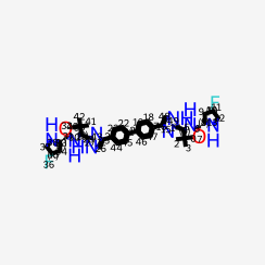 CC(C)(C)[C@H](NC(=O)[C@@H]1C[C@@H](F)CN1)c1nc(-c2ccc(-c3ccc(-c4c[nH]c([C@@H](NC(=O)[C@@H]5C[C@@H](F)CN5)C(C)(C)C)n4)cc3)cc2)c[nH]1